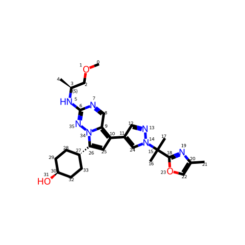 COC[C@H](C)Nc1ncc2c(-c3cnn(C(C)(C)c4nc(C)co4)c3)cc([C@H]3CC[C@H](O)CC3)n2n1